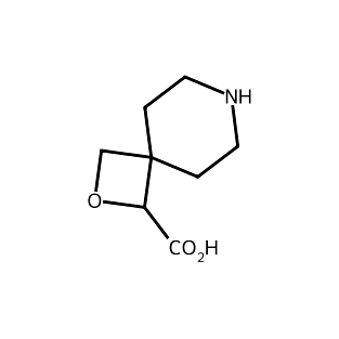 O=C(O)C1OCC12CCNCC2